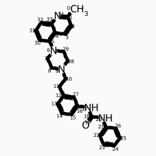 Cc1ccc2c(N3CCN(CCc4cccc(NC(=O)Nc5ccccc5)c4)CC3)cccc2n1